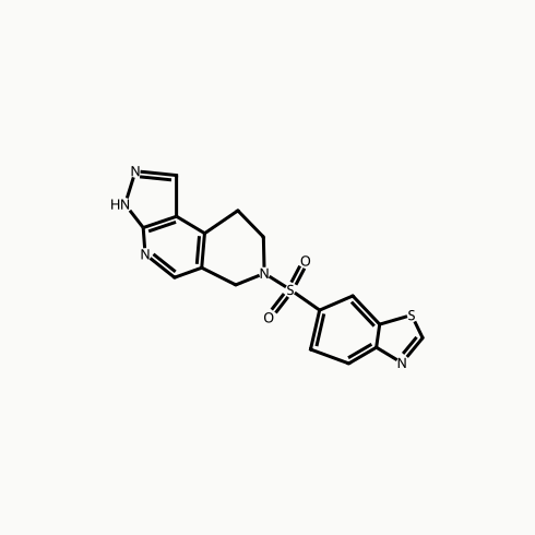 O=S(=O)(c1ccc2ncsc2c1)N1CCc2c(cnc3[nH]ncc23)C1